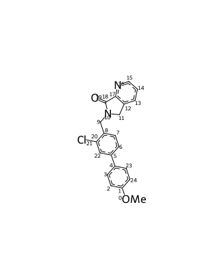 COc1ccc(-c2ccc(CN3Cc4cccnc4C3=O)c(Cl)c2)cc1